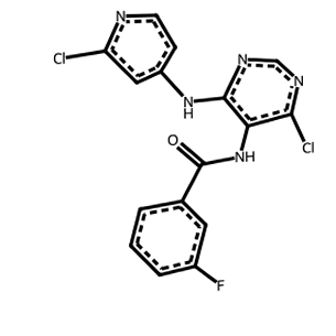 O=C(Nc1c(Cl)ncnc1Nc1ccnc(Cl)c1)c1cccc(F)c1